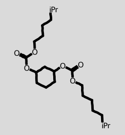 CC(C)CCCCCOC(=O)OC1CCCC(OC(=O)OCCCCC(C)C)C1